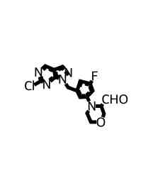 O=CC1COCCN1c1cc(F)cc(Cn2ncc3cnc(Cl)nc32)c1